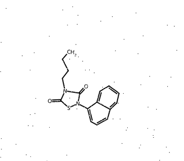 CCCCn1c(=O)sn(-c2cccc3ccccc23)c1=O